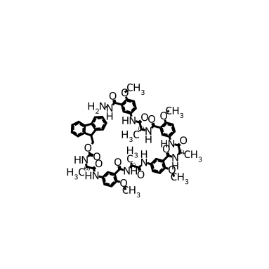 COc1ccc(NC(=O)[C@H](C)NC(=O)c2cc(NC(=O)[C@H](C)NC(=O)c3cc(NC(=O)[C@H](C)NC(=O)c4cc(NC(=O)[C@H](C)NC(=O)OCC5c6ccccc6-c6ccccc65)ccc4OC)ccc3OC)ccc2OC)cc1C(=O)NN